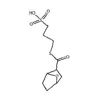 O=C(SCCCS(=O)(=O)O)C1CC2CCC1O2